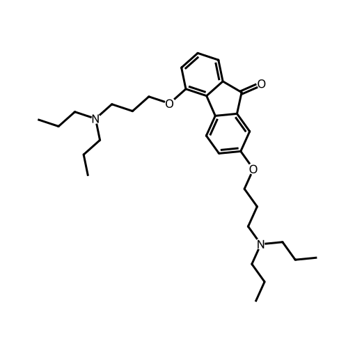 CCCN(CCC)CCCOc1ccc2c(c1)C(=O)c1cccc(OCCCN(CCC)CCC)c1-2